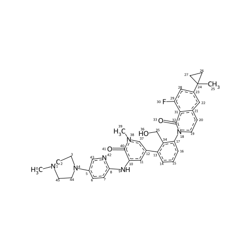 CN1CCN(c2ccc(Nc3cc(-c4cccc(-n5ccc6cc(C7(C)CC7)cc(F)c6c5=O)c4CO)cn(C)c3=O)nc2)CC1